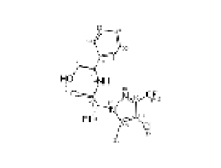 CC[C@H](C(=O)N[C@@H](CO)c1ccccc1)n1nc(C(F)(F)F)c(Cl)c1C